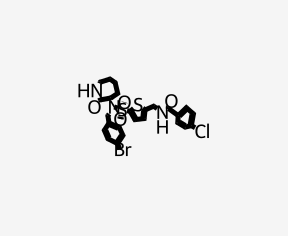 O=C(NCc1ccc(S(=O)(=O)N(Cc2ccc(Br)cc2)C2CCCCNC2=O)s1)c1ccc(Cl)cc1